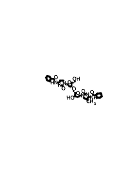 Cc1cn([C@H]2C[C@@H](O)[C@@H](CO[C@@H]3C[C@H](n4ccc(NC(=O)c5ccccc5)nc4=O)O[C@@H]3CO)O2)c(=O)nc1NC(=O)c1ccccc1